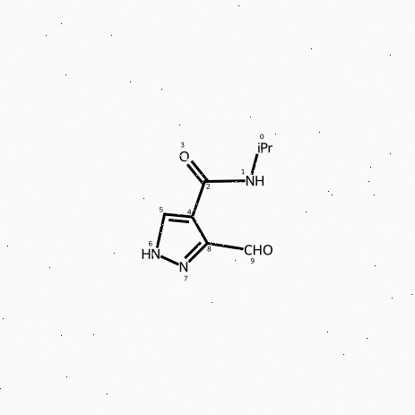 CC(C)NC(=O)c1c[nH]nc1C=O